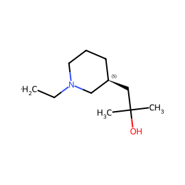 [CH2]CN1CCC[C@@H](CC(C)(C)O)C1